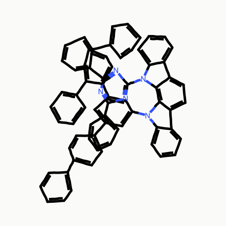 c1ccc(-c2ccc(-c3cc(-c4ccccc4-c4ccccc4)cc(-n4c5ccccc5c5ccc6c7ccccc7n(-c7nc(-c8ccccc8)nc(-c8ccccc8-c8ccccc8)n7)c6c54)c3)cc2)cc1